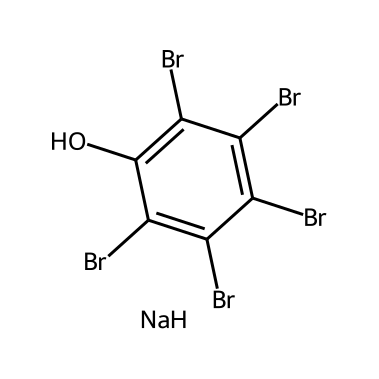 Oc1c(Br)c(Br)c(Br)c(Br)c1Br.[NaH]